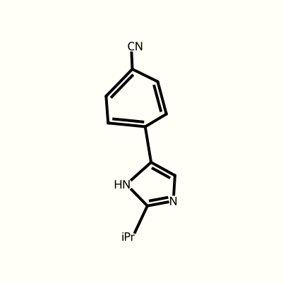 CC(C)c1ncc(-c2ccc(C#N)cc2)[nH]1